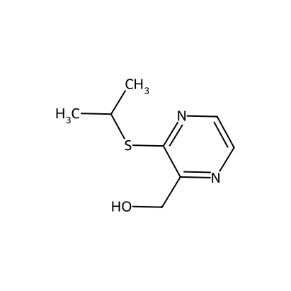 CC(C)Sc1nccnc1CO